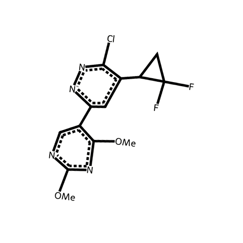 COc1ncc(-c2cc(C3CC3(F)F)c(Cl)nn2)c(OC)n1